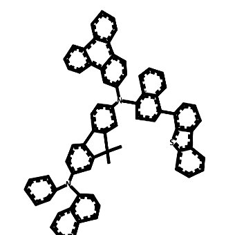 CC1(C)c2cc(N(c3ccccc3)c3cccc4ccccc34)ccc2-c2ccc(N(c3ccc4c5ccccc5c5ccccc5c4c3)c3ccc(-c4cccc5c4sc4ccccc45)c4ccccc34)cc21